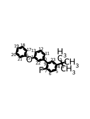 CC(C)(C)c1ccc(F)c(-c2cccc(Oc3ccccc3)c2)c1